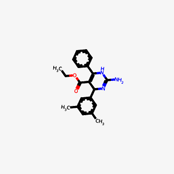 CCOC(=O)C1=C(c2ccccc2)NC(N)=NC1c1cc(C)cc(C)c1